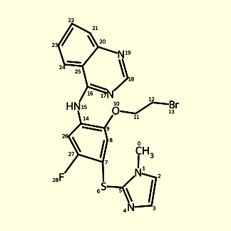 Cn1ccnc1Sc1cc(OCCBr)c(Nc2ncnc3ccccc23)cc1F